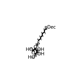 CCCCCCCCCCCCCCCCCCSCCO[C@@H]1[C@@H](O)[C@@H](O)[C@@H](CO)O[C@H]1O